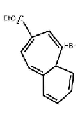 Br.CCOC(=O)C1=CC=C2C=CC=CC2C=C1